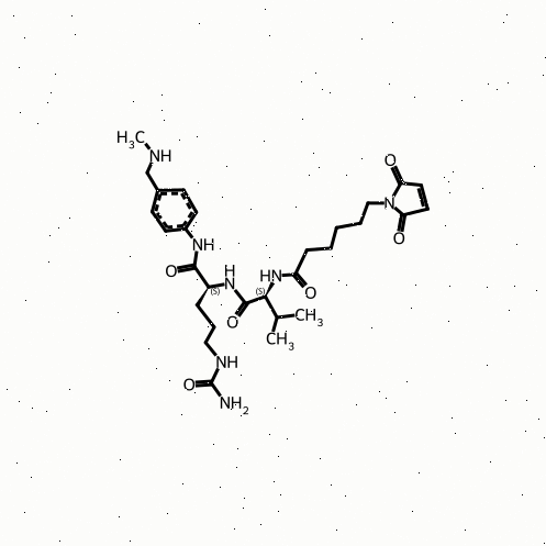 CNCc1ccc(NC(=O)[C@H](CCCNC(N)=O)NC(=O)[C@@H](NC(=O)CCCCCN2C(=O)C=CC2=O)C(C)C)cc1